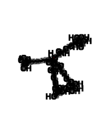 CC(C)(C)OC[C@@H]1C[C@@H](O)CN1C(=O)CCCCCCCCCCC(=O)NC(COCCC(=O)NCCOCCOCCO[C@H]1OC(CO)[C@@H](O)[C@H](O)C1O)(COCCC(=O)NCCOCCOCCO[C@H]1OC(CO)[C@@H](O)[C@H](O)C1O)COCCC(=O)NCCOCCOCCO[C@H]1OC(CO)C[C@H](O)C1O